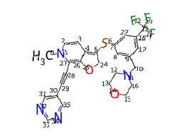 CN1C=CC2=C(Sc3cc(CN4CCOCC4)cc(C(F)(F)F)c3)COC2=C1C#Cc1cncnc1